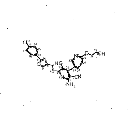 N#Cc1c(N)nc(SCc2coc(-c3ccc(Cl)cc3)n2)c(C#N)c1-c1ccc(OCCO)nc1